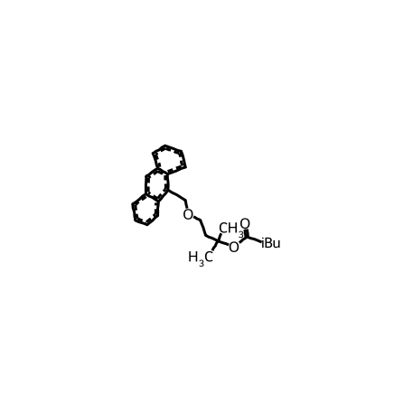 CCC(C)C(=O)OC(C)(C)CCOCc1c2ccccc2cc2ccccc12